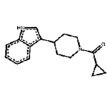 O=C(C1CC1)N1CCC(c2c[nH]c3ccccc23)CC1